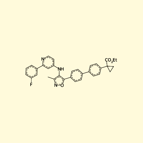 CCOC(=O)C1(c2ccc(-c3ccc(-c4onc(C)c4Nc4ccnc(-c5cccc(F)c5)c4)cc3)cc2)CC1